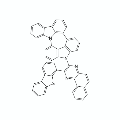 c1ccc2c(c1)ccc1nc(-n3c4cccc5c6cccc7c8ccccc8n(c8cccc3c8c54)c67)c(-c3cccc4c3sc3ccccc34)nc12